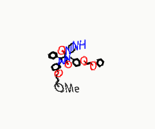 COCCCOc1cccc(-n2c(-c3ccccc3)c(C(=O)N3CCNCC3)n(Cc3cccc(OCCOc4ccccc4)c3)c2=O)c1